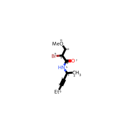 CCC#CC(C)NC(=O)C(Br)COC